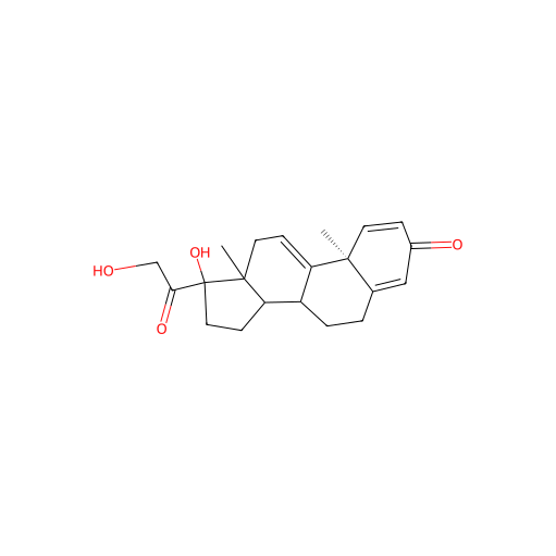 CC12CC=C3C(CCC4=CC(=O)C=C[C@@]43C)C1CCC2(O)C(=O)CO